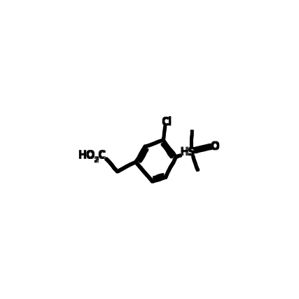 C[SH](C)(=O)c1ccc(CC(=O)O)cc1Cl